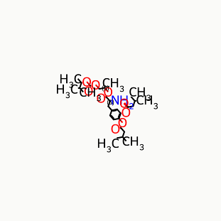 CCC(C)CC(=O)Oc1ccc(C[C@H](N)C(=O)O[C@@H](C)COC(=O)OC(C)C(C)C)cc1OC(=O)CC(C)CC